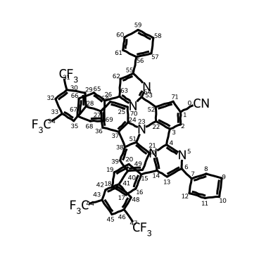 N#Cc1cc(-c2nc(-c3ccccc3)cc(-c3ccccc3)n2)c(-n2c3ccc(-c4cc(C(F)(F)F)cc(C(F)(F)F)c4)cc3c3cc(-c4cc(C(F)(F)F)cc(C(F)(F)F)c4)ccc32)c(-c2nc(-c3ccccc3)cc(-c3ccccc3)n2)c1